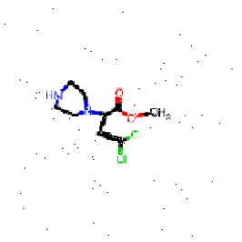 COC(=O)C(C=C(Cl)Cl)N1CCNCC1